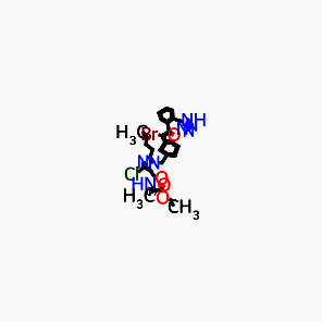 CCCCc1nc(Cl)c(C(=O)N[C@H](C)C(=O)OCC)n1Cc1ccc2oc(-c3ccccc3-c3nnn[nH]3)c(Br)c2c1